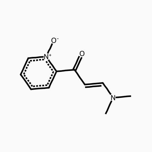 CN(C)C=CC(=O)c1cccc[n+]1[O-]